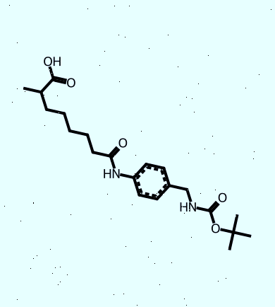 CC(CCCCCC(=O)Nc1ccc(CNC(=O)OC(C)(C)C)cc1)C(=O)O